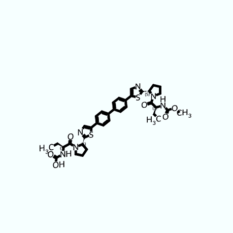 CC[C@H](NC(=O)O)C(=O)N1CCC[C@H]1c1ncc(-c2ccc(-c3ccc(-c4cnc([C@@H]5CCCN5C(=O)[C@H](CC)NC(=O)OC)s4)cc3)cc2)s1